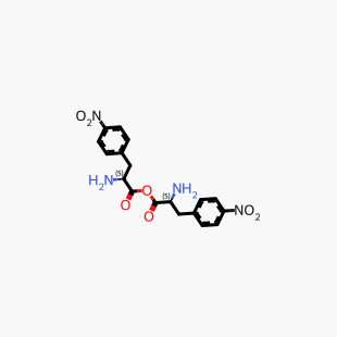 N[C@@H](Cc1ccc([N+](=O)[O-])cc1)C(=O)OC(=O)[C@@H](N)Cc1ccc([N+](=O)[O-])cc1